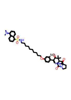 CN(C)c1cccc2c(S(=O)(=O)NCCCCCCCCCCOc3ccc(C4=C[C@@]56NC(=O)C7(CCCN7C5=O)CC6C(C)(C)C4=O)c([N+](=O)[O-])c3)cccc12